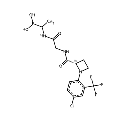 CC(NC(=O)CNC(=O)[C@@H]1CCN1c1ccc(Cl)cc1C(F)(F)F)B(O)O